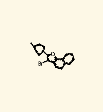 Cc1ccc(-c2oc3c(ccc4ccccc43)c2Br)cc1